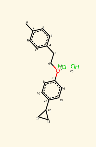 Cc1ccc(CCOc2ccc(C3CC3)cc2)cc1.Cl.Cl